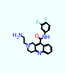 NCCN1CCc2nc3ccccc3c(C(=O)Nc3ccc(F)c(F)c3)c2C1